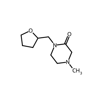 CN1CCN(CC2CCCO2)C(=O)C1